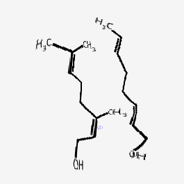 CC(C)=CCC/C(C)=C\CO.CC=CCCC=CCO